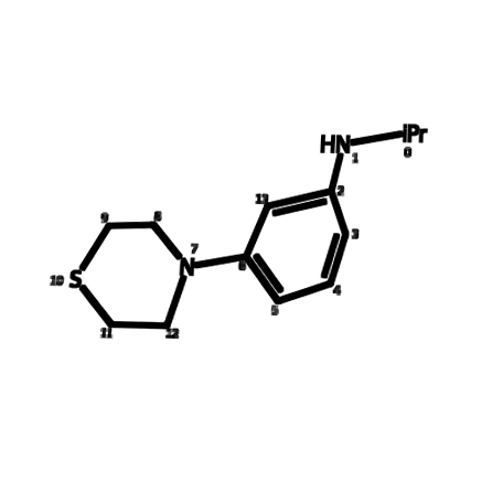 CC(C)Nc1cccc(N2CCSCC2)c1